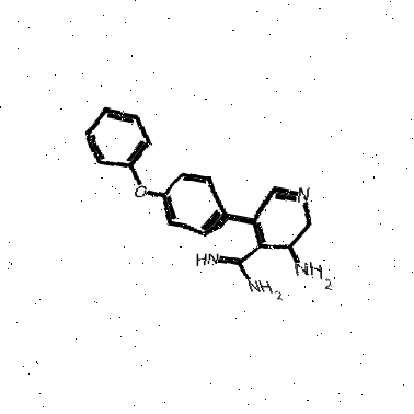 N=C(N)C1=C(c2ccc(Oc3ccccc3)cc2)C=NCC1N